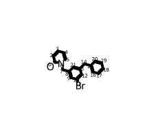 O=c1ccccn1Cc1cc(Br)cc(Cc2ccccc2)c1